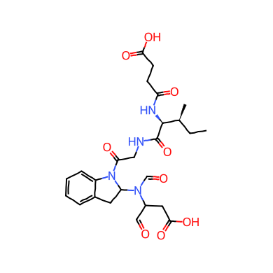 CC[C@H](C)[C@H](NC(=O)CCC(=O)O)C(=O)NCC(=O)N1c2ccccc2CC1N(C=O)C(C=O)CC(=O)O